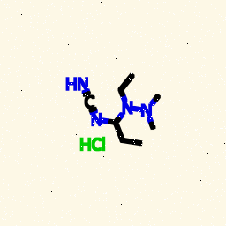 CCC(N=C=N)N(CC)N(C)C.Cl